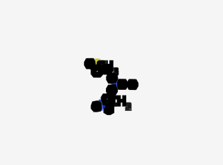 C=Cc1c(/C=C\Cc2ccc(N(c3ccc(-c4ccccc4)cc3)c3ccc(-c4cccc(C5(C)CCC=Cc6c5sc5ccccc65)c4)cc3)cc2)n(-c2ccccc2)c2ccccc12